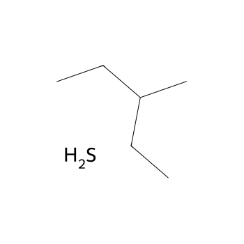 CCC(C)CC.S